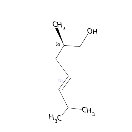 CC(C)/C=C/C[C@@H](C)CO